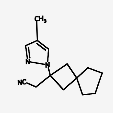 Cc1cnn(C2(CC#N)CC3(CCCC3)C2)c1